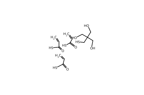 C=CC(=O)S.C=CC(=O)S.C=CC(=O)S.OCC(CO)(CO)CS